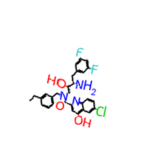 CCc1cccc(CN(C[C@@H](O)[C@@H](N)Cc2cc(F)cc(F)c2)C(=O)c2cc(O)c3cc(Cl)ccc3n2)c1